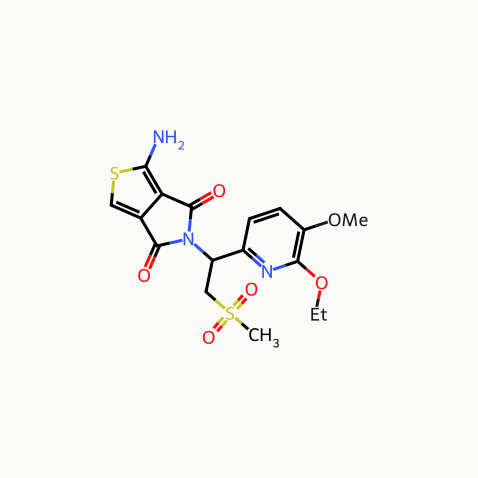 CCOc1nc(C(CS(C)(=O)=O)N2C(=O)c3csc(N)c3C2=O)ccc1OC